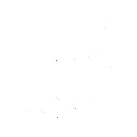 CN1CCC(N(C)C(=O)c2ccc(NC(=N)/N=c3\[nH]cccc3C3=CCNCC3)cc2)CC1